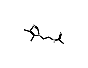 CC(=O)NCCn1cnc(C)c1C